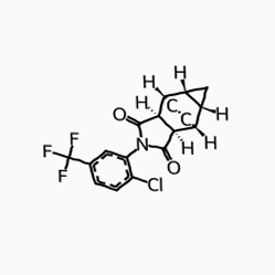 O=C1[C@@H]2[C@@H]3CC[C@@H]([C@@H]4C[C@@H]43)[C@@H]2C(=O)N1c1cc(C(F)(F)F)ccc1Cl